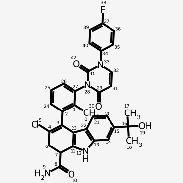 Cc1c(C2=C(Cl)CC(C(N)=O)c3[nH]c4cc(C(C)(C)O)ccc4c32)cccc1-n1c(=O)ccn(-c2ccc(F)cc2)c1=O